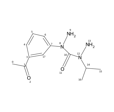 CC(=O)c1cccc(N(N)C(=O)N(N)C(C)C)c1